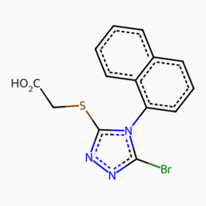 O=C(O)CSc1nnc(Br)n1-c1cccc2ccccc12